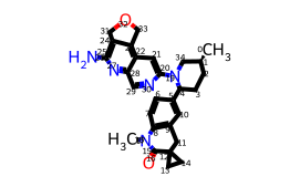 C[C@H]1CCC(c2ccc3c(c2)CC2(CC2)C(=O)N3C)N(c2cc3c4c(c(N)nc3cn2)COC4)C1